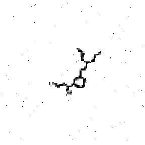 CCCC(CCC)CCc1cccc(C(O)CCN)c1